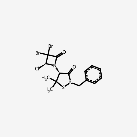 CC1(C)SN(Cc2ccccc2)C(=O)[C@@H]1N1C(=O)C(Br)(Br)[C@@H]1Cl